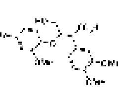 COc1ccc(C(C(=O)O)C(CO)Oc2ccc(C(C)=O)cc2OC)cc1OC